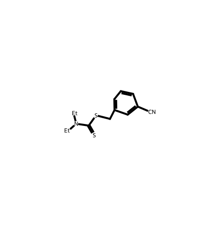 CCN(CC)C(=S)SCc1cccc(C#N)c1